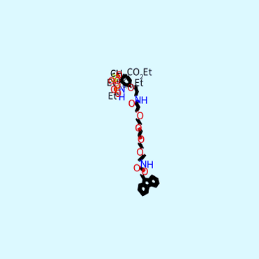 CCOC(=O)C1=C[C@@H](O[C@@H](CC)CCNC(=O)CCOCCOCCOCCOCCNC(=O)OCC2c3ccccc3-c3ccccc32)[C@H](NP(=O)(OCC)OCC)[C@@H](OS(C)(=O)=O)C1